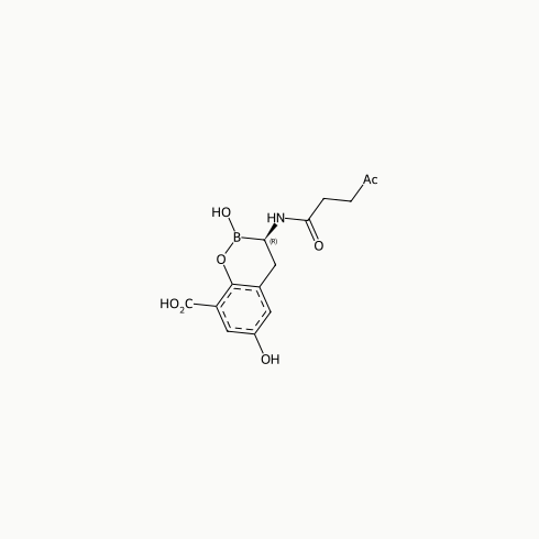 CC(=O)CCC(=O)N[C@H]1Cc2cc(O)cc(C(=O)O)c2OB1O